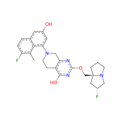 Cc1c(F)ccc2cc(O)cc(N3CCc4c(O)nc(OC[C@@]56CCCN5C[C@H](F)C6)nc4C3)c12